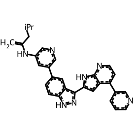 C=C(CC(C)C)Nc1cncc(-c2ccc3[nH]nc(-c4cc5c(-c6cccnc6)ccnc5[nH]4)c3c2)c1